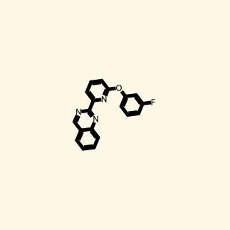 Fc1cccc(Oc2cccc(-c3ncc4ccccc4n3)n2)c1